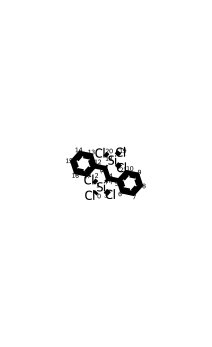 Cl[Si](Cl)(Cl)[C@H](c1ccccc1)[C@H](c1ccccc1)[Si](Cl)(Cl)Cl